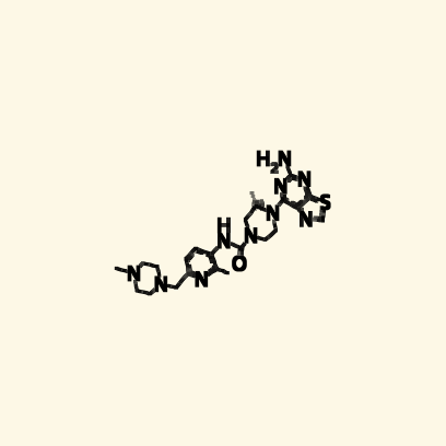 Cc1nc(CN2CCN(C)CC2)ccc1NC(=O)N1CCN(c2nc(N)nc3scnc23)[C@@H](C)C1